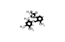 Cc1cc(C)c(OCc2c(C)cccc2-n2nnn(C)c2=O)cc1C